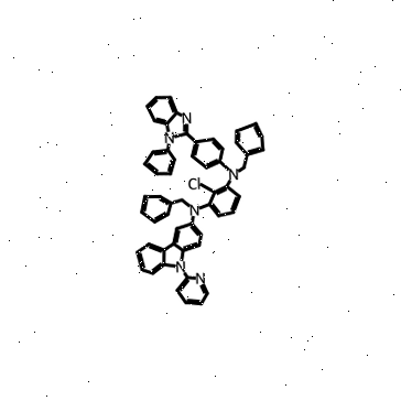 Clc1c(N(Cc2ccccc2)c2ccc(-c3nc4ccccc4n3-c3ccccc3)cc2)cccc1N(Cc1ccccc1)c1ccc2c(c1)c1ccccc1n2-c1ccccn1